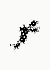 CC(C)C1=C2[C@H]3CC[C@@H]4[C@@]5(C)CC[C@H](OC(=O)CC(C)(C)C(=O)O)C(C)(C)C5CC[C@@]4(C)[C@]3(C)CCC2([C@@H](CNCc2ccc(Cl)cc2)OC(=O)CC(C)(C)C(=O)O)CC1=O